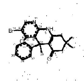 CC1(C)CC(=O)C2=C(C1)Nc1ncc(Br)c(Cl)c1C2(C)c1ccccc1